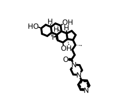 C[C@H](CCC(=O)N1CCN(c2ccncc2)CC1)C1CC[C@H]2[C@@H]3[C@H](O)C[C@@H]4C[C@H](O)CC[C@]4(C)[C@H]3C[C@H](O)[C@]12C